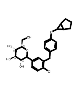 OC[C@H]1OC(c2ccc(Cl)c(Cc3ccc(OC4C5CCCC54)cc3)c2)[C@H](O)[C@@H](O)[C@@H]1O